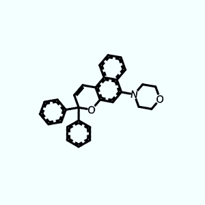 C1=CC(c2ccccc2)(c2ccccc2)Oc2cc(N3CCOCC3)c3ccccc3c21